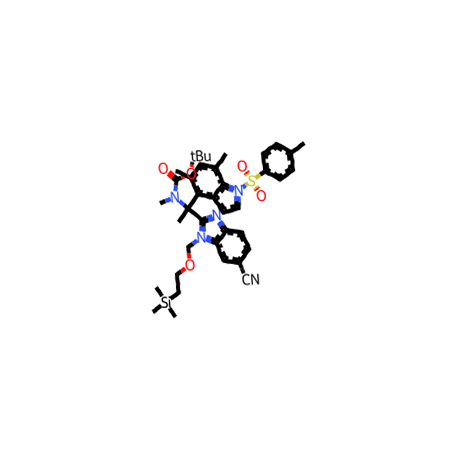 Cc1ccc(S(=O)(=O)n2ccc3c(C(C)(c4nc5ccc(C#N)cc5n4COCC[Si](C)(C)C)N(C)C(=O)OC(C)(C)C)c(C)cc(C)c32)cc1